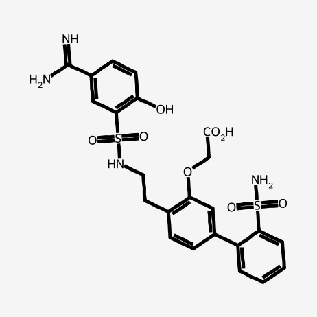 N=C(N)c1ccc(O)c(S(=O)(=O)NCCc2ccc(-c3ccccc3S(N)(=O)=O)cc2OCC(=O)O)c1